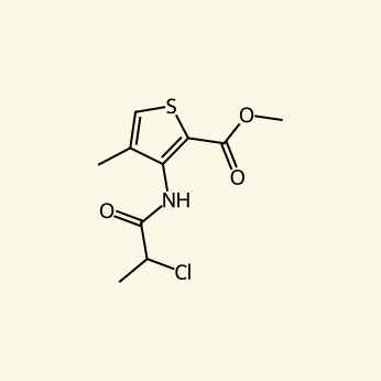 COC(=O)c1scc(C)c1NC(=O)C(C)Cl